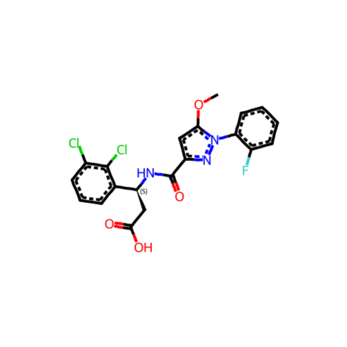 COc1cc(C(=O)N[C@@H](CC(=O)O)c2cccc(Cl)c2Cl)nn1-c1ccccc1F